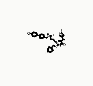 CC(c1cn[nH]c1)c1cn(CCCC(=O)N(C)Cc2ccc(-c3ccc(Cl)cc3)cc2)c(SCc2ccc(F)cc2)nc1=O